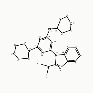 FC(F)c1nc2ccccc2n1-c1nc(NC2CCOCC2)nc(N2CCOCC2)n1